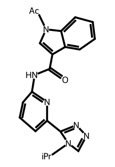 CC(=O)n1cc(C(=O)Nc2cccc(-c3nncn3C(C)C)n2)c2ccccc21